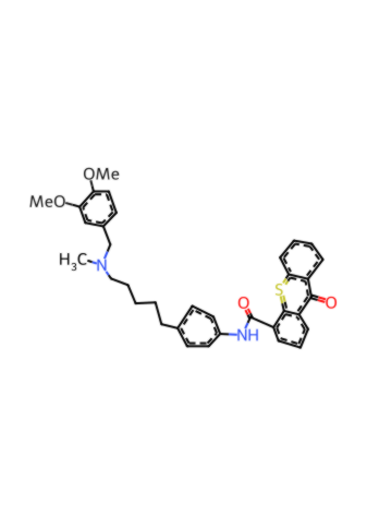 COc1ccc(CN(C)CCCCCc2ccc(NC(=O)c3cccc4c(=O)c5ccccc5sc34)cc2)cc1OC